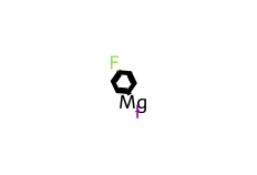 Fc1cc[c]([Mg][I])cc1